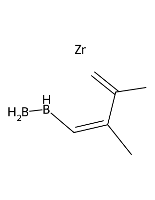 BBC=C(C)C(=C)C.[Zr]